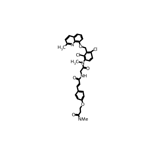 CNC(=O)CCOc1ccc(C=CC(=O)NCC(=O)N(C)c2ccc(Cl)c(COc3cccc4ccc(C)nc34)c2Cl)cc1